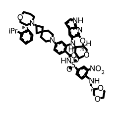 CC(C)c1ccccc1[C@@H]1COCCCN1C1CC2(CCN(c3ccc(C(=O)NS(=O)(=O)c4ccc(NC[C@H]5COCCO5)c([N+](=O)[O-])c4)c(N4c5cc6cc[nH]c6nc5O[C@H]5COCC[C@@H]54)c3)CC2)C1